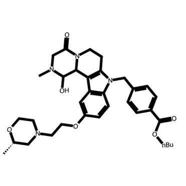 CCCCOC(=O)c1ccc(Cn2c3c(c4cc(OCCN5CCO[C@@H](C)C5)ccc42)C2C(O)N(C)CC(=O)N2CC3)cc1